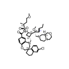 CC/C=C/[C@](CN1CCN2CCOC[C@@H]2C1)(OC)[C@@H]1CC[C@H]1CN1C[C@@]2(CCCc3cc(Cl)ccc32)COc2ccc(C(=O)NS(=O)(=O)[C@@H](C)CCOC)cc21